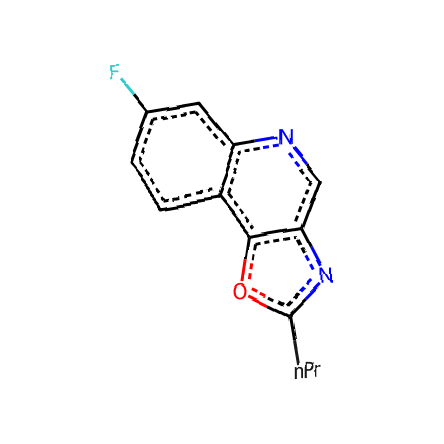 CCCc1nc2cnc3cc(F)ccc3c2o1